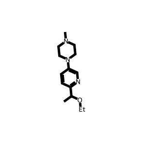 CCOC(C)c1ccc(N2CCN(C)CC2)cn1